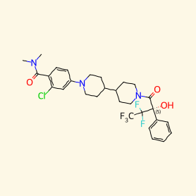 CN(C)C(=O)c1ccc(N2CCC(C3CCN(C(=O)[C@@](O)(c4ccccc4)C(F)(F)C(F)(F)F)CC3)CC2)cc1Cl